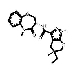 CC[C@@]1(C)COc2[nH]nc(C(=O)N[C@H]3COc4ccccc4N(C)C3=O)c2C1